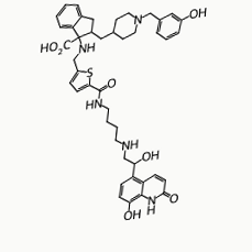 O=C(NCCCCNCC(O)c1ccc(O)c2[nH]c(=O)ccc12)c1ccc(CNC2(C(=O)O)c3ccccc3CC2CC2CCN(Cc3cccc(O)c3)CC2)s1